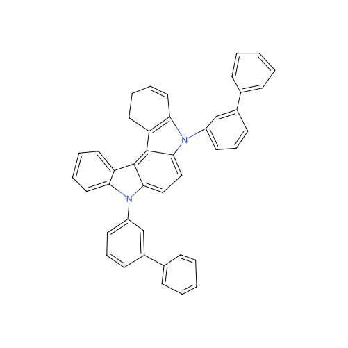 C1=Cc2c(c3c4c5ccccc5n(-c5cccc(-c6ccccc6)c5)c4ccc3n2-c2cccc(-c3ccccc3)c2)CC1